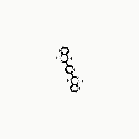 O=C(Nc1cccnc1O)c1ccc(C(=O)Nc2cccnc2O)nc1